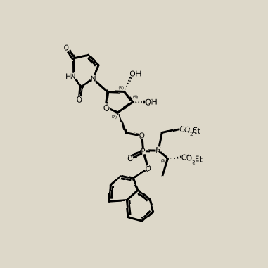 CCOC(=O)CN([C@@H](C)C(=O)OCC)P(=O)(OC[C@H]1OC(n2ccc(=O)[nH]c2=O)[C@H](O)[C@@H]1O)Oc1cccc2ccccc12